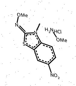 CON.CON=c1sc2cc([N+](=O)[O-])ccc2n1C.Cl